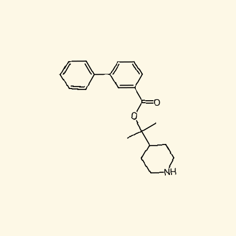 CC(C)(OC(=O)c1cccc(-c2ccccc2)c1)C1CCNCC1